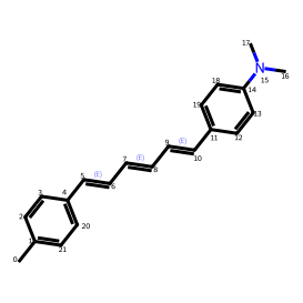 Cc1ccc(/C=C/C=C/C=C/c2ccc(N(C)C)cc2)cc1